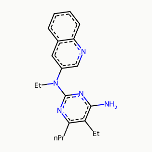 CCCc1nc(N(CC)c2cnc3ccccc3c2)nc(N)c1CC